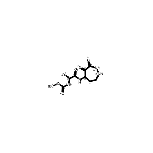 CC(C)C(NC(=O)OC(C)(C)C)C(=O)NC1CCNNC(=O)C1=O